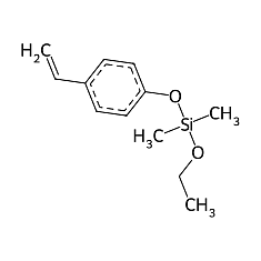 C=Cc1ccc(O[Si](C)(C)OCC)cc1